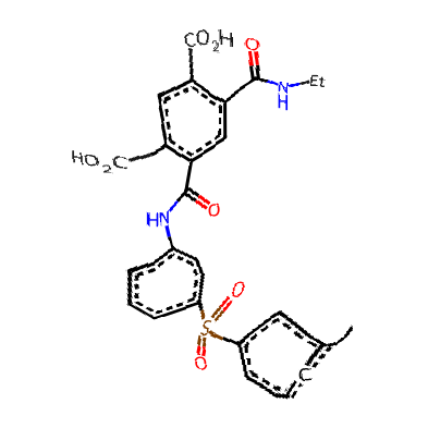 CCNC(=O)c1cc(C(=O)Nc2cccc(S(=O)(=O)c3cccc(C)c3)c2)c(C(=O)O)cc1C(=O)O